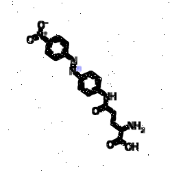 NC(CCC(=O)Nc1ccc(/N=N/c2ccc([N+](=O)[O-])cc2)cc1)C(=O)O